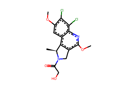 COc1cc2c3c(c(OC)nc2c(Cl)c1Cl)CN(C(=O)CO)[C@H]3C